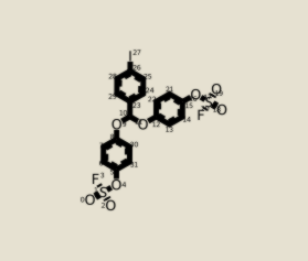 O=S(=O)(F)Oc1ccc(OC(Oc2ccc(OS(=O)(=O)F)cc2)c2ccc(I)cc2)cc1